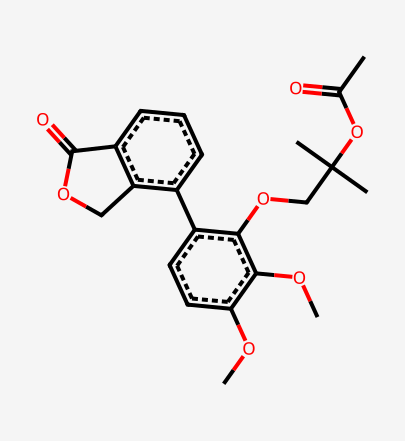 COc1ccc(-c2cccc3c2COC3=O)c(OCC(C)(C)OC(C)=O)c1OC